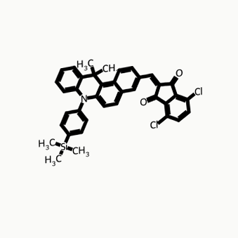 CC1(C)c2ccccc2N(c2ccc([Si](C)(C)C)cc2)c2ccc3cc(C=C4C(=O)c5c(Cl)ccc(Cl)c5C4=O)ccc3c21